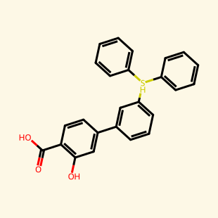 O=C(O)c1ccc(-c2cccc([SH](c3ccccc3)c3ccccc3)c2)cc1O